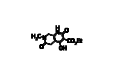 CCOC(=O)c1c(O)c2c([nH]c1=O)CN(C)C(=O)C2